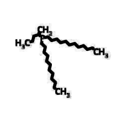 C=C(CCC)P(CCCCCCCCCCCC)CCCCCCCCCCCC